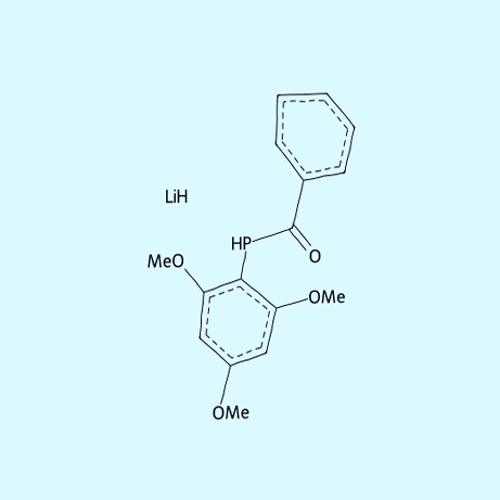 COc1cc(OC)c(PC(=O)c2ccccc2)c(OC)c1.[LiH]